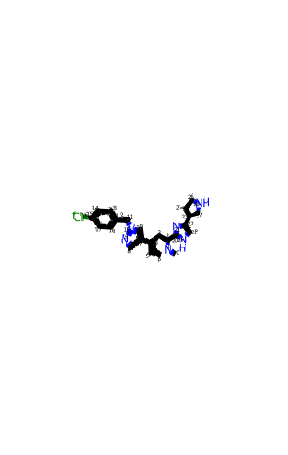 C=N/C(=C\C(=C/C)c1cnn(Cc2ccc(Cl)cc2)c1)c1nc(C2CCNC2)c[nH]1